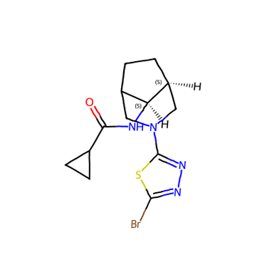 O=C(N[C@H]1C2CC[C@H]1CN(c1nnc(Br)s1)C2)C1CC1